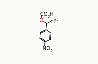 CCCC(OC(=O)O)c1ccc([N+](=O)[O-])cc1